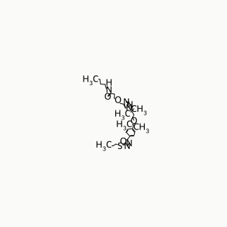 CCCCCNC(=O)CCOCc1cn(C(C)(C)CCOC(C)(C)c2ccc(-c3nnc(SCCC)o3)cc2)nn1